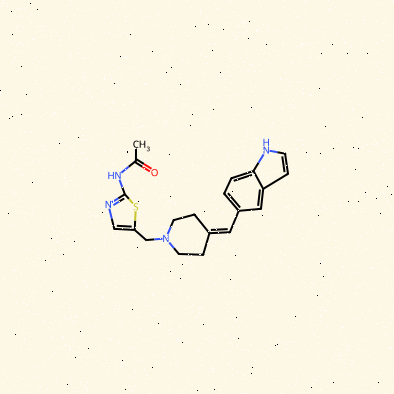 CC(=O)Nc1ncc(CN2CCC(=Cc3ccc4[nH]ccc4c3)CC2)s1